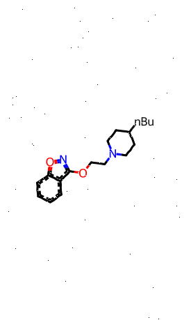 CCCCC1CCN(CCOc2noc3ccccc23)CC1